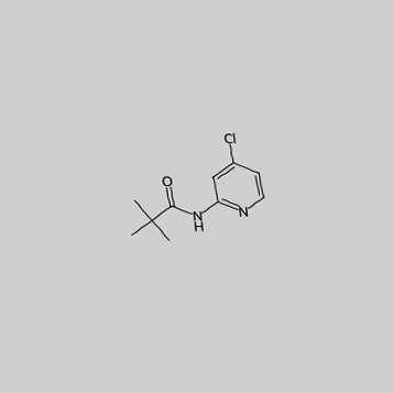 CC(C)(C)C(=O)Nc1cc(Cl)ccn1